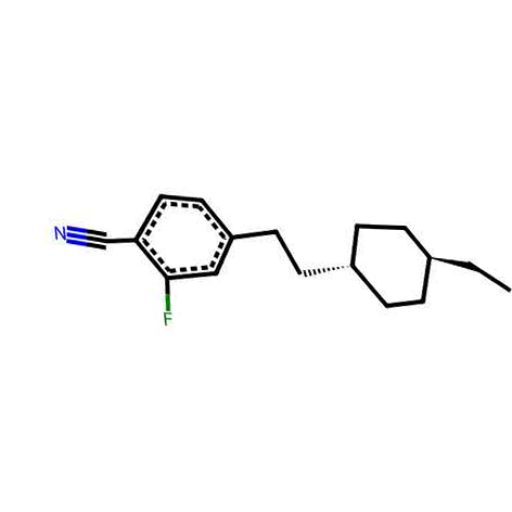 CC[C@H]1CC[C@H](CCc2ccc(C#N)c(F)c2)CC1